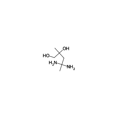 CC(N)(N)CC(C)(O)CO